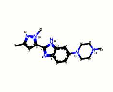 Cc1cc(-c2nc3ccc(N4CCN(C)CC4)cc3[nH]2)n(C)n1